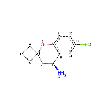 N[C@H]1CC2(CCC2)Oc2ccc(F)cc21